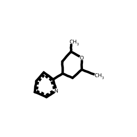 CC1CC(c2cc[c]cn2)CC(C)O1